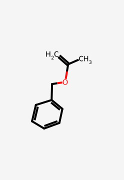 C=C(C)OCc1ccccc1